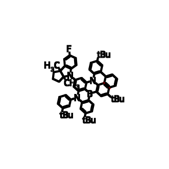 CC(C)(C)c1cccc(N2c3cc(C(C)(C)C)ccc3B3c4cc(C(C)(C)C)ccc4N(c4ccc(C(C)(C)C)cc4-c4ccccc4)c4cc(N5c6ccc(F)cc6C6(C)CCCC56C)cc2c43)c1